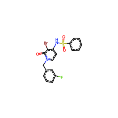 O=c1c(Br)c(NS(=O)(=O)c2ccccc2)ccn1Cc1cccc(F)c1